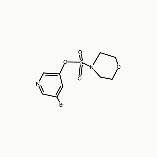 O=S(=O)(Oc1cncc(Br)c1)N1CCOCC1